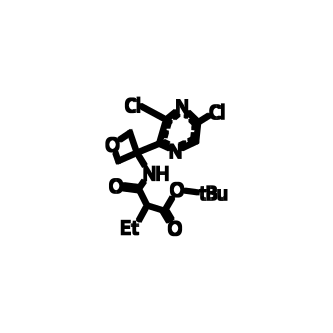 CCC(C(=O)NC1(c2ncc(Cl)nc2Cl)COC1)C(=O)OC(C)(C)C